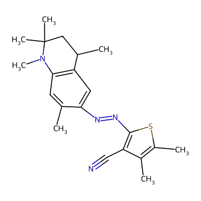 Cc1cc2c(cc1N=Nc1sc(C)c(C)c1C#N)C(C)CC(C)(C)N2C